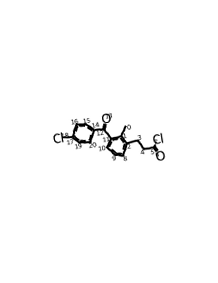 Cc1c(CCC(=O)Cl)cccc1C(=O)c1ccc(Cl)cc1